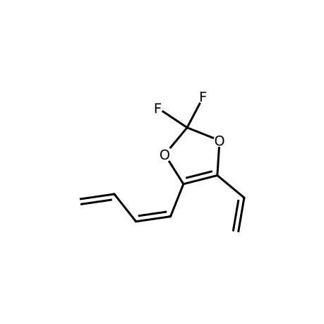 C=C/C=C\C1=C(C=C)OC(F)(F)O1